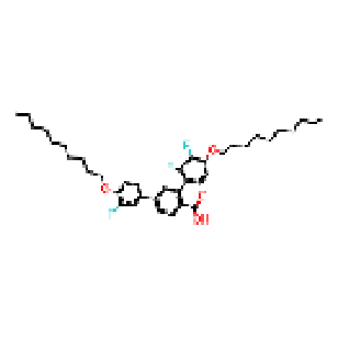 CCCCCCCCCCOc1ccc(-c2ccc(C(=O)O)c(-c3ccc(OCCCCCCCCCC)c(F)c3F)c2)cc1F